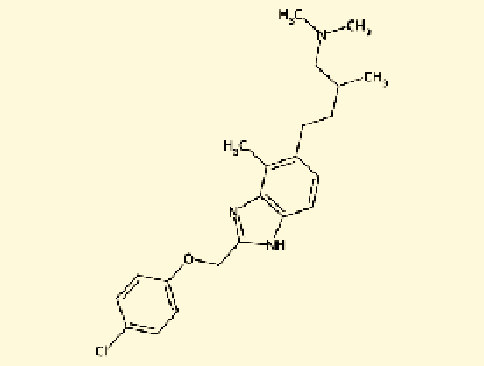 Cc1c(CCC(C)CN(C)C)ccc2[nH]c(COc3ccc(Cl)cc3)nc12